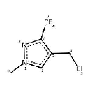 Cn1cc(CCl)c(C(F)(F)F)n1